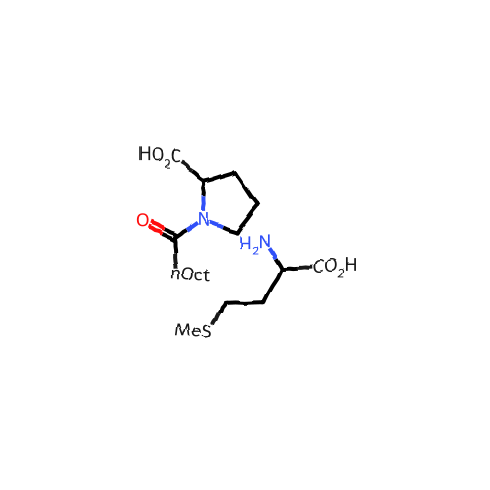 CCCCCCCCC(=O)N1CCCC1C(=O)O.CSCCC(N)C(=O)O